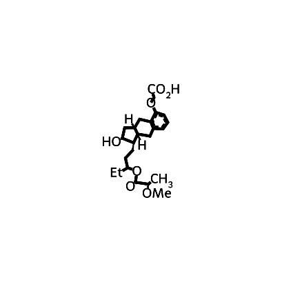 CCC(CC[C@@H]1[C@H]2Cc3cccc(OCC(=O)O)c3C[C@H]2C[C@H]1O)OC(=O)[C@@H](C)OC